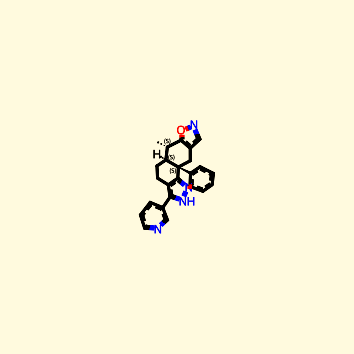 C[C@@H]1c2oncc2C[C@]2(c3ccccc3)c3n[nH]c(-c4cccnc4)c3CC[C@@H]12